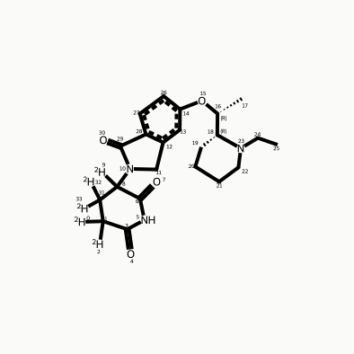 [2H]C1([2H])C(=O)NC(=O)C([2H])(N2Cc3cc(O[C@H](C)[C@H]4CCCCN4CC)ccc3C2=O)C1([2H])[2H]